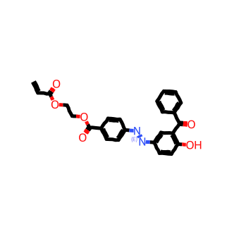 C=CC(=O)OCCOC(=O)c1ccc(/N=N/c2ccc(O)c(C(=O)c3ccccc3)c2)cc1